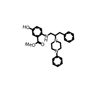 COC(=O)c1cc(O)ccc1NCC(Cc1ccccc1)N1CCN(c2ccccc2)CC1